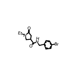 CCN1CC(C(=O)NCc2ccc(Br)cc2)CC1=O